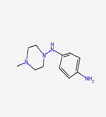 CN1CCN(Nc2ccc(N)cc2)CC1